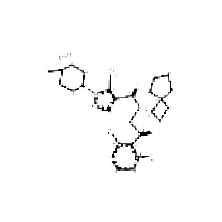 C[C@]1(C(=O)O)CC[C@H](n2ncc(C(=O)N(CC(=O)c3c(Cl)cccc3Cl)[C@H]3CCC34CCCC4)c2C(F)(F)F)CC1